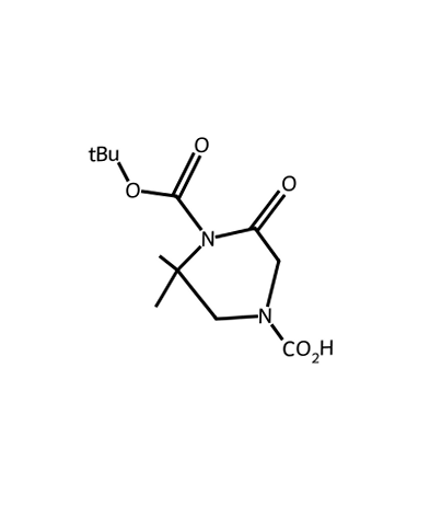 CC(C)(C)OC(=O)N1C(=O)CN(C(=O)O)CC1(C)C